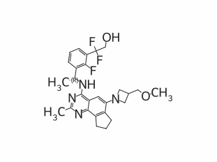 COCC1CN(c2cc3c(N[C@H](C)c4cccc(C(F)(F)CO)c4F)nc(C)nc3c3c2CCC3)C1